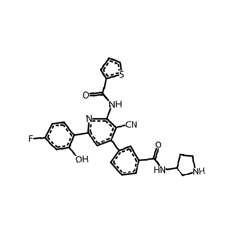 N#Cc1c(-c2cccc(C(=O)NC3CCNC3)c2)cc(-c2ccc(F)cc2O)nc1NC(=O)c1cccs1